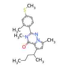 CCCC(C)c1cc(C)n2nc(-c3ccc(SC)cc3C)n(C)c(=O)c12